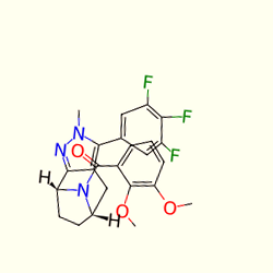 COc1cccc(C(=O)N2[C@H]3CC[C@@H]2c2nn(C)c(-c4cc(F)c(F)c(F)c4)c2C3)c1OC